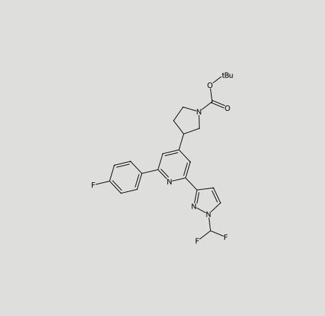 CC(C)(C)OC(=O)N1CCC(c2cc(-c3ccc(F)cc3)nc(-c3ccn(C(F)F)n3)c2)C1